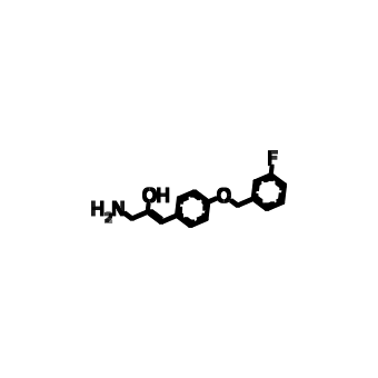 NCC(O)=Cc1ccc(OCc2cccc(F)c2)cc1